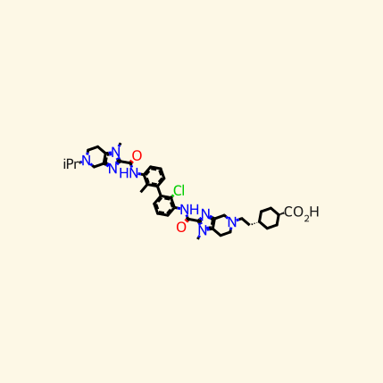 Cc1c(NC(=O)c2nc3c(n2C)CCN(C(C)C)C3)cccc1-c1cccc(NC(=O)c2nc3c(n2C)CCN(CC[C@H]2CC[C@H](C(=O)O)CC2)C3)c1Cl